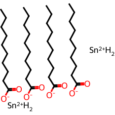 CCCCCCCCCC(=O)[O-].CCCCCCCCCC(=O)[O-].CCCCCCCCCC(=O)[O-].CCCCCCCCCC(=O)[O-].[SnH2+2].[SnH2+2]